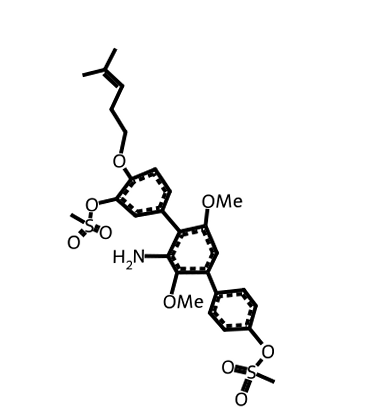 COc1cc(-c2ccc(OS(C)(=O)=O)cc2)c(OC)c(N)c1-c1ccc(OCCC=C(C)C)c(OS(C)(=O)=O)c1